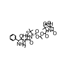 C[C](OC(=O)[C@@H]1N2C(=O)[C@@H](NC(=O)C(N)c3ccccc3)[C@H]2SC1(C)C)OC(=O)[C@@H]1N2C(=O)C[C@H]2S(=O)(=O)C1(C)C